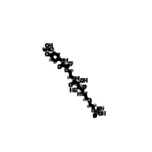 CP(=O)(O)OC1CCC(NC(=O)C(=O)OCCNC(=O)[C@H](O)[C@@H](O)C(=O)NCCOCCOP(=O)(O)O)CC1